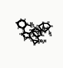 Cc1ccccc1-c1noc(C2CC2)c1CO[C@@H]1CC2CC[C@@H](C1)N2c1nccc(C(=O)O)n1